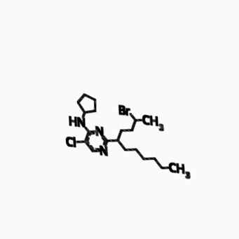 CCCCCCC(CCC(C)Br)c1ncc(Cl)c(NC2CCCC2)n1